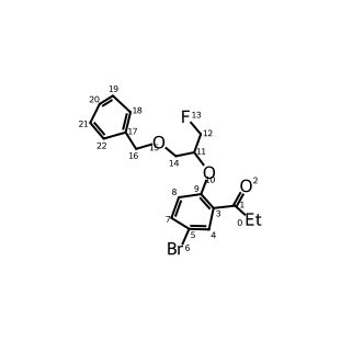 CCC(=O)c1cc(Br)ccc1OC(CF)COCc1ccccc1